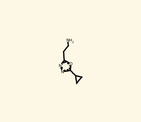 NCCc1nnc(C2CC2)o1